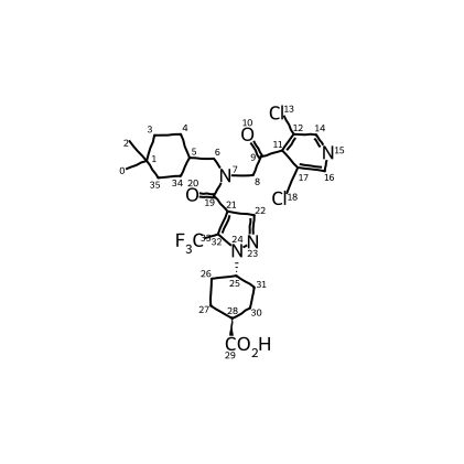 CC1(C)CCC(CN(CC(=O)c2c(Cl)cncc2Cl)C(=O)c2cnn([C@H]3CC[C@H](C(=O)O)CC3)c2C(F)(F)F)CC1